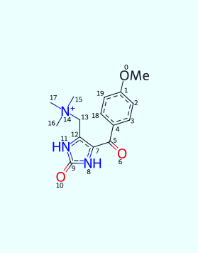 COc1ccc(C(=O)c2[nH]c(=O)[nH]c2C[N+](C)(C)C)cc1